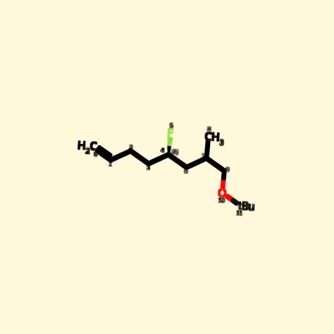 C=CCC[C@@H](F)CC(C)COC(C)(C)C